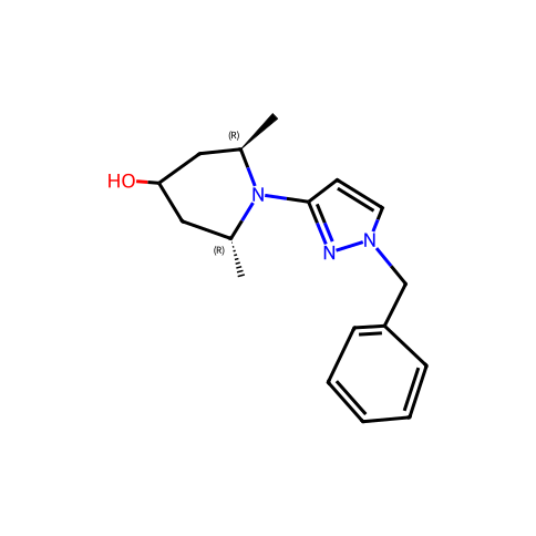 C[C@@H]1CC(O)C[C@@H](C)N1c1ccn(Cc2ccccc2)n1